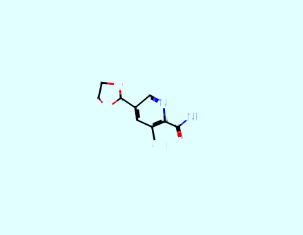 Cc1cc(C2OCCO2)cnc1C(N)=O